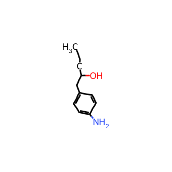 CCCC(O)Cc1ccc(N)cc1